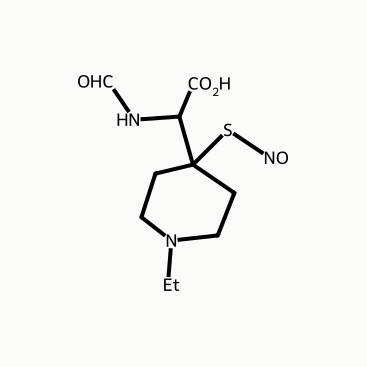 CCN1CCC(SN=O)(C(NC=O)C(=O)O)CC1